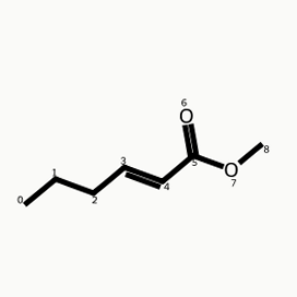 CCCC=CC(=O)OC